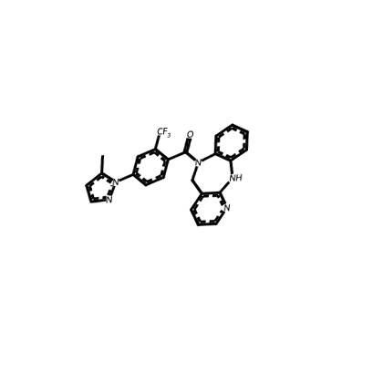 Cc1ccnn1-c1ccc(C(=O)N2Cc3cccnc3Nc3ccccc32)c(C(F)(F)F)c1